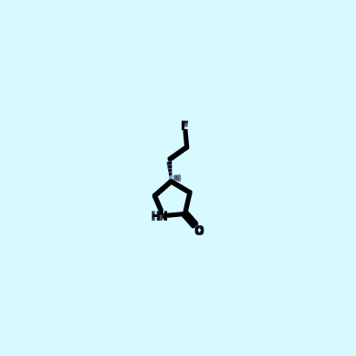 O=C1C[C@@H](CCF)CN1